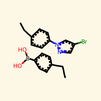 CCc1ccc(-n2cc(Br)cn2)cc1.CCc1ccc(B(O)O)cc1